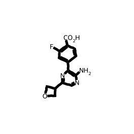 Nc1ncc(C2COC2)nc1-c1ccc(C(=O)O)c(F)c1